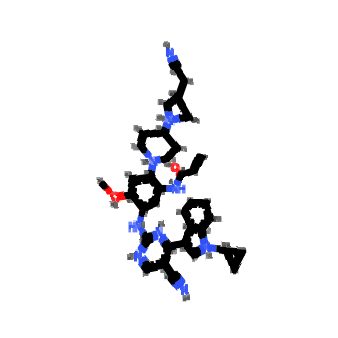 C=CC(=O)Nc1cc(Nc2ncc(C#N)c(-c3cn(C4CC4)c4ccccc34)n2)c(OC)cc1N1CCC(N2CC(CC#N)C2)CC1